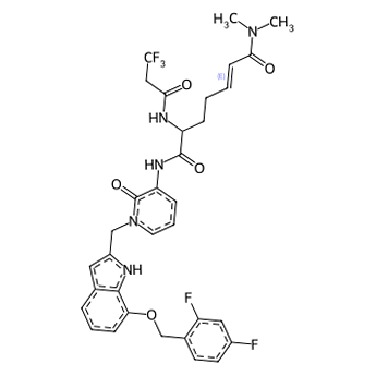 CN(C)C(=O)/C=C/CCC(NC(=O)CC(F)(F)F)C(=O)Nc1cccn(Cc2cc3cccc(OCc4ccc(F)cc4F)c3[nH]2)c1=O